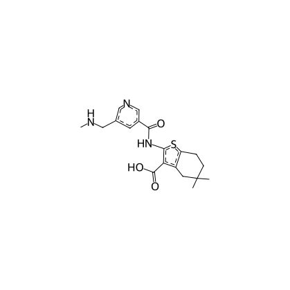 CNCc1cncc(C(=O)Nc2sc3c(c2C(=O)O)CC(C)(C)CC3)c1